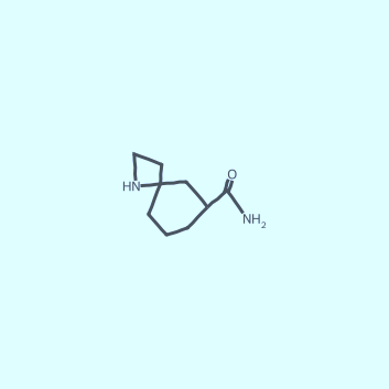 NC(=O)C1CCCC2(CCN2)C1